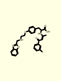 C/C(=C/C(=O)c1cccc(I)c1)NC(Cc1ccc(OCCNCc2nc3ccccc3o2)cc1)C(=O)O